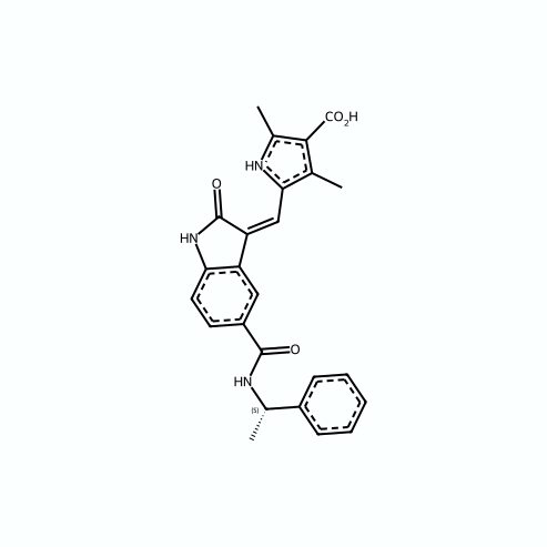 Cc1[nH]c(C=C2C(=O)Nc3ccc(C(=O)N[C@@H](C)c4ccccc4)cc32)c(C)c1C(=O)O